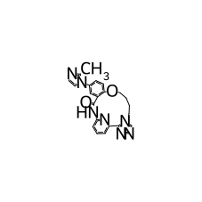 Cc1nccn1-c1ccc2c(c1)C(=O)Nc1cccc(n1)-c1nncn1CCCCO2